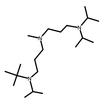 CC(C)N(CCCN(C)CCCN(C(C)C)C(C)(C)C)C(C)C